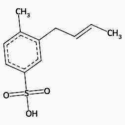 CC=CCc1cc(S(=O)(=O)O)ccc1C